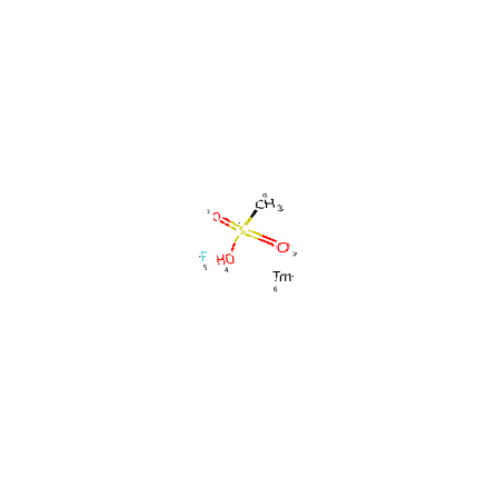 CS(=O)(=O)O.[F].[Tm]